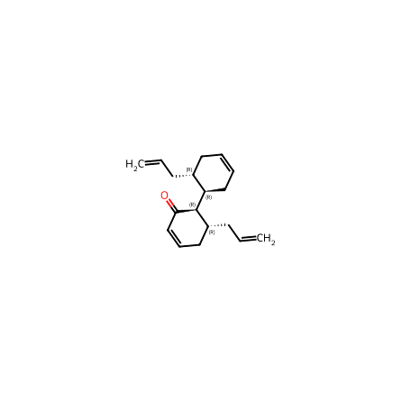 C=CC[C@@H]1CC=CC[C@H]1[C@@H]1C(=O)C=CC[C@H]1CC=C